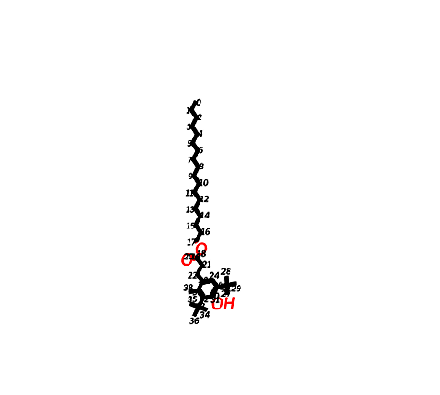 CCCCCCCCCCCCCCCCCCOC(=O)CCc1cc(C(C)(C)C)c(O)c(C(C)(C)C)c1C